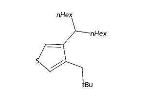 CCCCCCC(CCCCCC)c1cscc1CC(C)(C)C